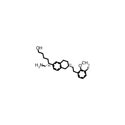 COc1c(F)cccc1CC[C@@H]1CCc2cc([C@H](CN)CCCCO)ccc2C1